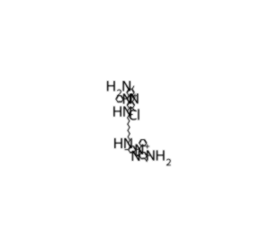 Cc1cc2nc3cc(C)c(NCCCCCCCCC(Cl)Nc4cc5c(cc4C)nc4cc(C)c(N)cc4[n+]5-c4ccccc4)cc3[n+](-c3ccccc3)c2cc1N